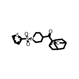 O=C(C1CCN(S(=O)(=O)c2cccs2)CC1)N1CC2CC3CC(C2)CC1C3